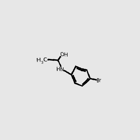 CC(O)Nc1ccc(Br)cc1